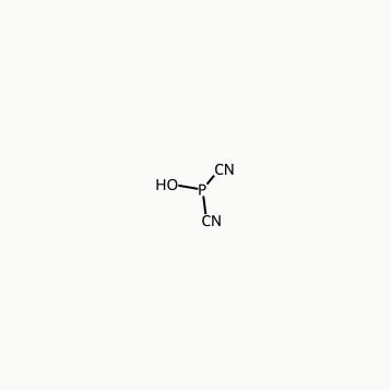 N#CP(O)C#N